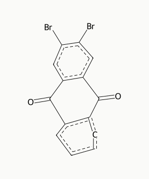 O=C1c2ccccc2C(=O)c2cc(Br)c(Br)cc21